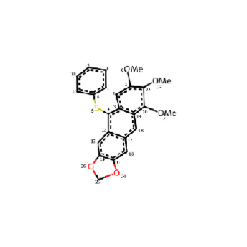 COc1cc2c(Sc3ccccc3)c3cc4c(cc3cc2c(OC)c1OC)OCO4